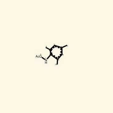 CC(=O)ONc1c(C)cc(C)cc1C